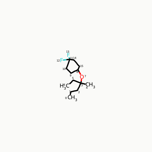 CCCC(C)(CC)OC1CCC(F)(F)CC1